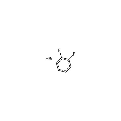 Br.Fc1ccccc1F